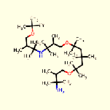 CC(COC(C)(C)CC(C)(C)CC(C)(C)OCC(C)C(C)(C)NC(C)(C)C(C)COC(C)(C)C(C)C)C(C)(C)N